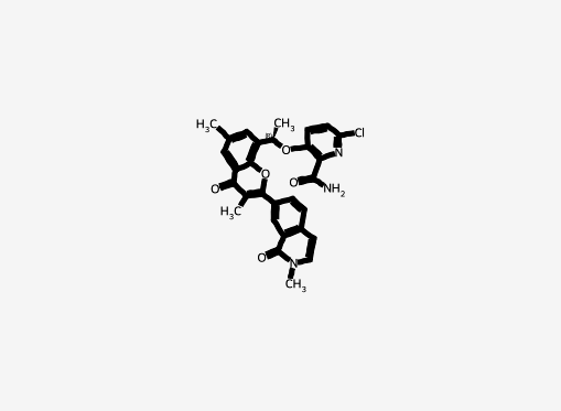 Cc1cc([C@@H](C)Oc2ccc(Cl)nc2C(N)=O)c2oc(-c3ccc4ccn(C)c(=O)c4c3)c(C)c(=O)c2c1